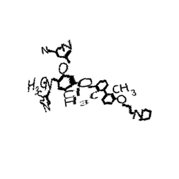 Cc1c(COc2cc(OCc3cncc(C#N)c3)c(CN(C)Cc3cncs3)cc2Cl)cccc1-c1cccc(OCCCN2CCCC2)c1C